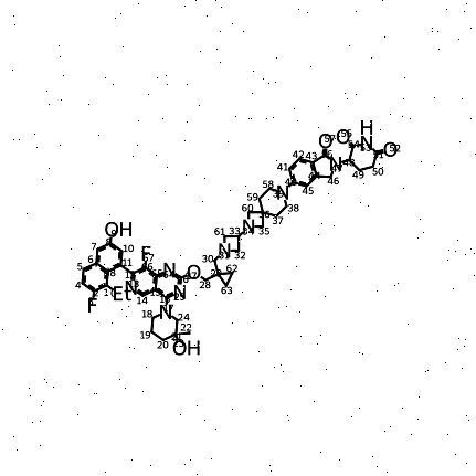 CCc1c(F)ccc2cc(O)cc(-c3ncc4c(N5CCC[C@@](C)(O)C5)nc(OCC5(CN6CC(N7CC8(CCN(c9ccc%10c(c9)CN(C9CCC(=O)NC9=O)C%10=O)CC8)C7)C6)CC5)nc4c3F)c12